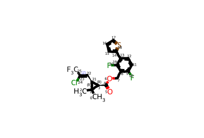 CC1(C)[C@H](C(=O)OCc2c(F)ccc(-c3cccs3)c2F)[C@@H]1/C=C(\Cl)C(F)(F)F